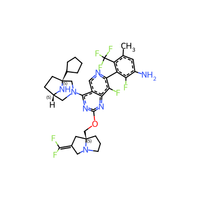 Cc1cc(N)c(F)c(-c2ncc3c(N4C[C@@H]5CC[C@](C6CCCC6)(C4)N5)nc(OC[C@@]45CCCN4CC(=C(F)F)C5)nc3c2F)c1C(F)(F)F